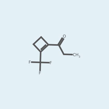 CCC(=O)C1=C(C(F)(F)F)CC1